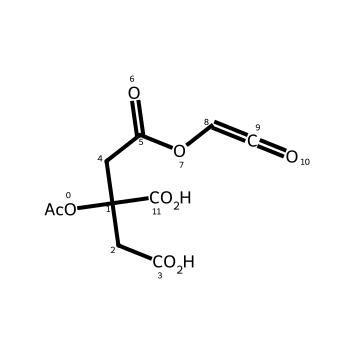 CC(=O)OC(CC(=O)O)(CC(=O)OC=C=O)C(=O)O